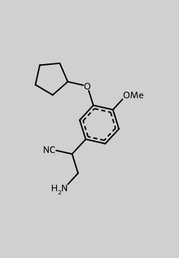 COc1ccc(C(C#N)CN)cc1OC1CCCC1